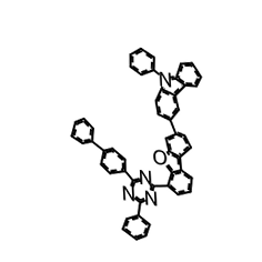 c1ccc(-c2ccc(-c3nc(-c4ccccc4)nc(-c4cccc5c4oc4cc(-c6ccc7c(c6)c6ccccc6n7-c6ccccc6)ccc45)n3)cc2)cc1